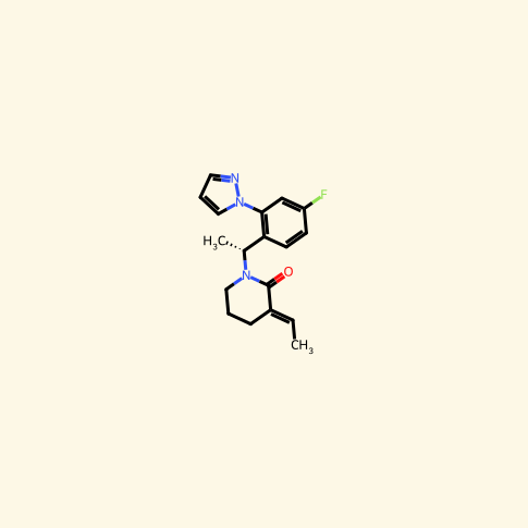 C/C=C1\CCCN([C@H](C)c2ccc(F)cc2-n2cccn2)C1=O